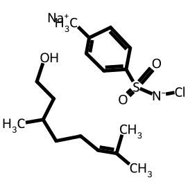 CC(C)=CCCC(C)CCO.Cc1ccc(S(=O)(=O)[N-]Cl)cc1.[Na+]